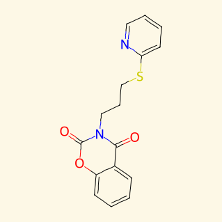 O=c1oc2ccccc2c(=O)n1CCCSc1ccccn1